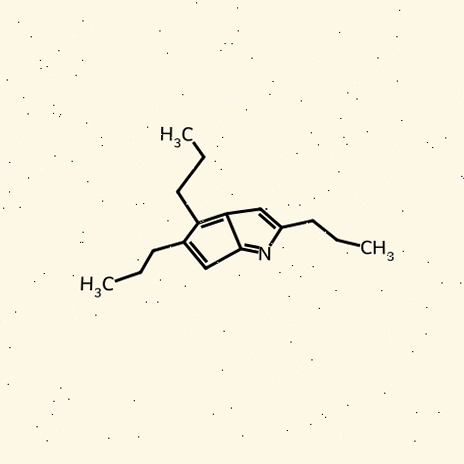 CCCC1=[C]C2=C(CCC)C(CCC)=CC2=N1